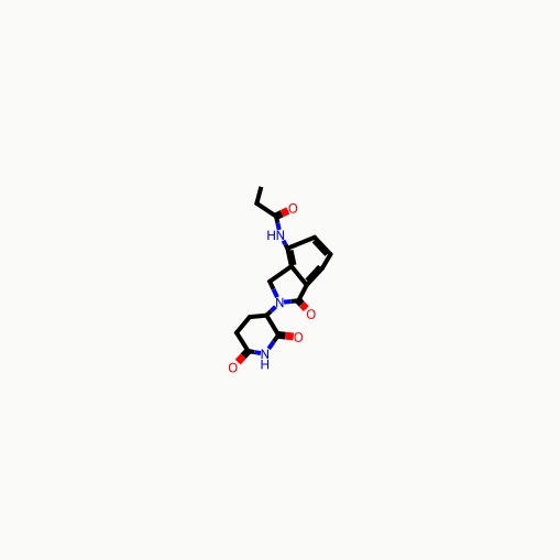 CCC(=O)Nc1cccc2c1CN(C1CCC(=O)NC1=O)C2=O